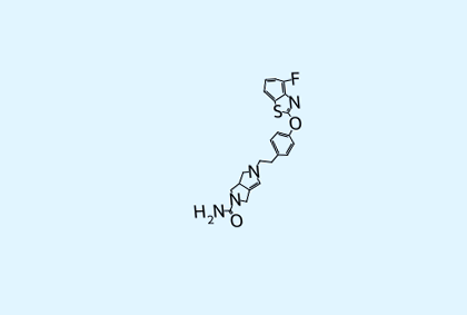 NC(=O)N1CC2=CN(CCc3ccc(Oc4nc5c(F)cccc5s4)cc3)CC2C1